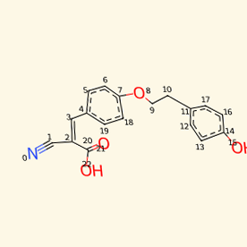 N#C/C(=C/c1ccc(OCCc2ccc(O)cc2)cc1)C(=O)O